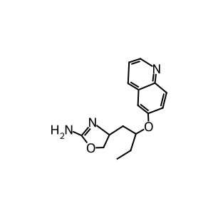 CCC(CC1COC(N)=N1)Oc1ccc2ncccc2c1